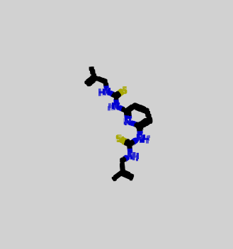 C=C(C)CNC(=S)Nc1cccc(NC(=S)NCC(=C)C)n1